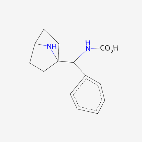 O=C(O)NC(c1ccccc1)C12CCC(CC1)N2